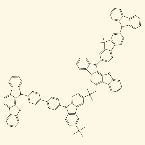 CC1(C)c2cc(-n3c4ccccc4c4ccccc43)ccc2-c2ccc(-n3c4ccccc4c4cc(C[Si](C)(C)c5ccc6c(c5)c5cc([Si](C)(C)C)ccc5n6-c5ccc(-c6ccc(-n7c8ccccc8c8ccc9c%10ccccc%10oc9c87)cc6)cc5)c5c6ccccc6oc5c43)cc21